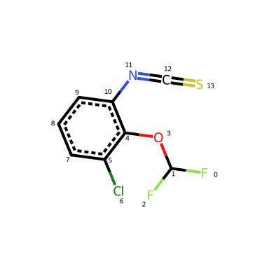 FC(F)Oc1c(Cl)cccc1N=C=S